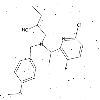 CCC(O)CN(Cc1ccc(OC)cc1)C(C)c1nc(Cl)ccc1F